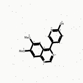 COc1cc2ncnc(-c3ccc(O)nc3)c2cc1OC